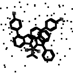 CCc1ccc(-c2cccc3c2C=C(c2ccccc2)[CH]3[Zr]([Cl])([Cl])([CH]2C(c3ccccc3)=Cc3c(-c4ccc(CC)cc4)cccc32)[SiH](C)C)cc1